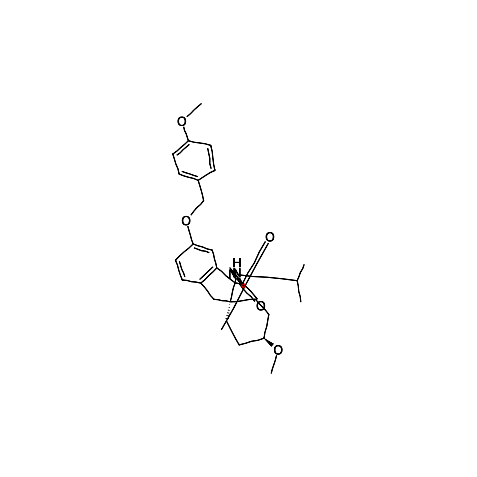 COc1ccc(COc2ccc3c(c2)C2(NC(=O)N(C(C)C)C2=O)[C@]2(CC[C@H](OC)CC2)C3)cc1